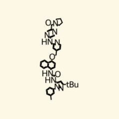 Cc1cccc(-n2nc(C(C)(C)C)cc2NC(=O)Nc2ccc(OCc3ccnc(Nc4cnc(C(=O)N5CCCC5)cn4)c3)c3ccccc23)c1